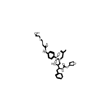 CC(C)CN(CC(O)C(Cc1ccccc1)NC(=O)OC1CCOC1)S(=O)(=O)c1ccc(NC(=O)CCOCCO)cc1